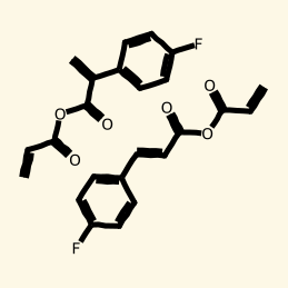 C=CC(=O)OC(=O)C(=C)c1ccc(F)cc1.C=CC(=O)OC(=O)C=Cc1ccc(F)cc1